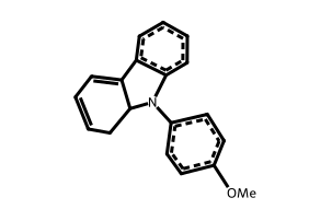 COc1ccc(N2c3ccccc3C3=CC=CCC32)cc1